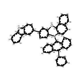 c1ccc(-c2c3ccccc3c(N3c4ccc(-c5ccc6oc7ccccc7c6c5)cc4Oc4c3ccc3ccccc43)c3ccccc23)cc1